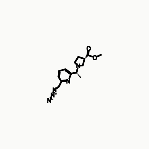 COC(=O)[C@H]1CCN([C@H](C)c2cccc(CN=[N+]=[N-])n2)C1